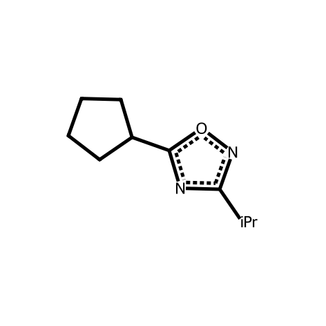 CC(C)c1noc(C2CCCC2)n1